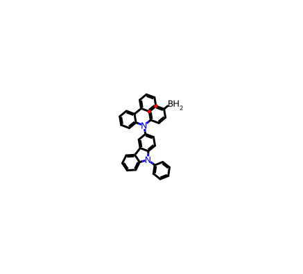 Bc1ccc(N(c2ccc3c(c2)c2ccccc2n3-c2ccccc2)c2ccccc2-c2ccccc2)cc1